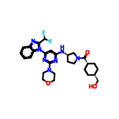 O=C([C@H]1CC[C@@H](CO)CC1)N1CC[C@H](Nc2cc(-n3c(C(F)F)nc4ccccc43)nc(N3CCOCC3)n2)C1